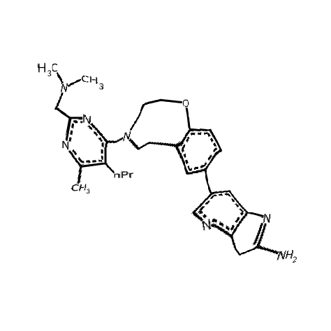 CCCc1c(C)nc(CN(C)C)nc1N1CCOc2ccc(-c3cnc4c(c3)N=C(N)C4)cc2C1